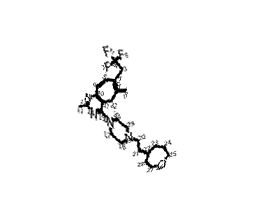 CC1=C(CC(F)(F)F)C=Cc2nc(C)nc(N3CCN(CCC4CCCOCC4)CC3)c2C1